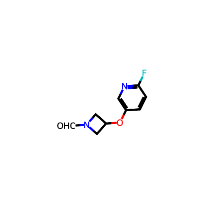 O=CN1CC(Oc2ccc(F)nc2)C1